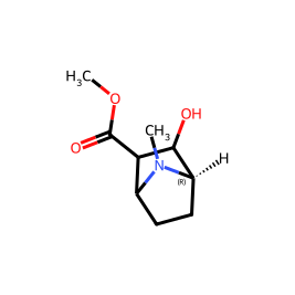 COC(=O)C1C(O)[C@H]2CCC1N2C